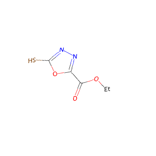 CCOC(=O)c1nnc(S)o1